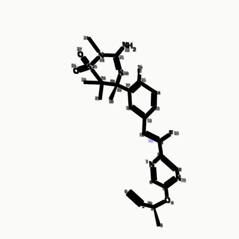 C#C[C@H](C)Oc1cnc(/C(F)=C/c2ccc(F)c([C@@]3(C)N=C(N)N(C)S(=O)(=O)C3(C)C)c2)cn1